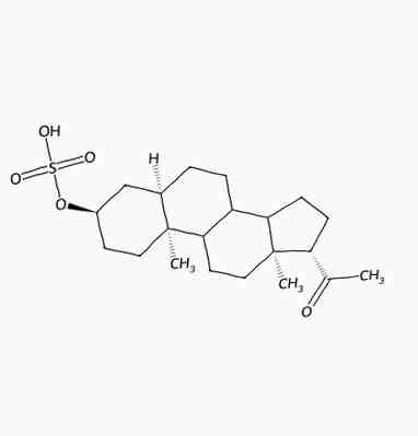 CC(=O)[C@H]1CCC2C3CC[C@@H]4C[C@H](OS(=O)(=O)O)CC[C@]4(C)C3CC[C@@]21C